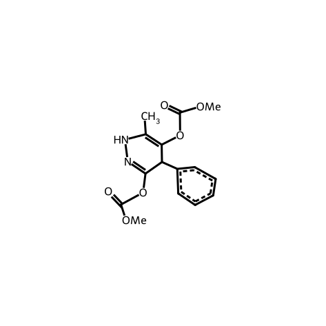 COC(=O)OC1=NNC(C)=C(OC(=O)OC)C1c1ccccc1